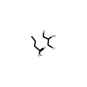 CCCC(=O)O.OC(CCl)CCl